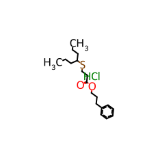 CCCC(CCC)SCCC(=O)OCCCc1ccccc1.Cl